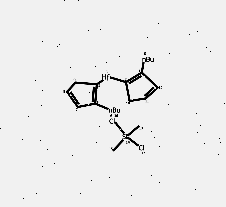 CCCCC1=[C]([Hf][C]2=C(CCCC)C=CC2)CC=C1.C[Si](C)(Cl)Cl